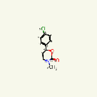 CN1CC[C@@H](c2ccc(Cl)cc2)OC1=O